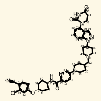 N#Cc1ccc(O[C@H]2CC[C@H](NC(=O)c3ccc(N4CCC(CN5CCC(n6ncc7c(N8CCC(=O)NC8=O)ccnc76)CC5)CC4)nn3)CC2)cc1Cl